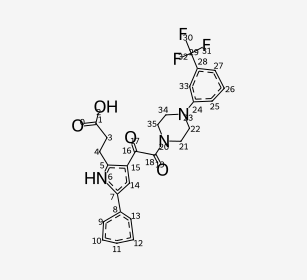 O=C(O)CCc1[nH]c(-c2ccccc2)cc1C(=O)C(=O)N1CCN(c2cccc(C(F)(F)F)c2)CC1